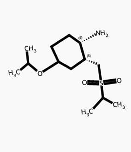 CC(C)OC1CC[C@H](N)[C@H](CS(=O)(=O)C(C)C)C1